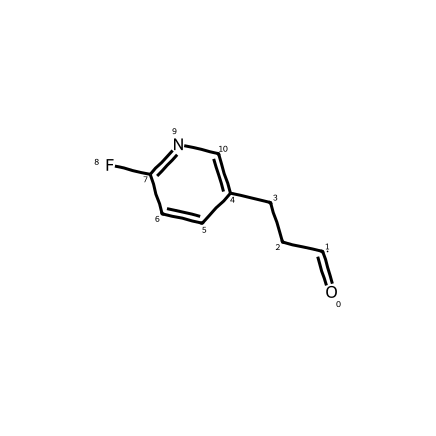 O=[C]CCc1ccc(F)nc1